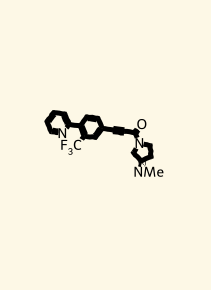 CN[C@@H]1CCN(C(=O)C#Cc2ccc(-c3ccccn3)c(C(F)(F)F)c2)C1